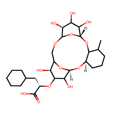 CC1CCC[C@H]2O[C@@H]3OC(COC4O[C@@H](OC12)C(O)C(O)[C@@H]4O)[C@H](O)C(O[C@@H](CC1CCCCC1)C(=O)O)C3O